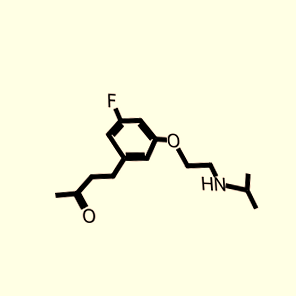 CC(=O)CCc1cc(F)cc(OCCNC(C)C)c1